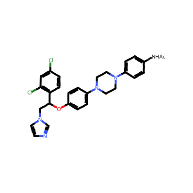 CC(=O)Nc1ccc(N2CCN(c3ccc(OC(Cn4ccnc4)c4ccc(Cl)cc4Cl)cc3)CC2)cc1